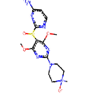 COc1nc(N2CC[N+](C)([O-])CC2)nc(OC)c1[S+]([O-])c1nccc(N)n1